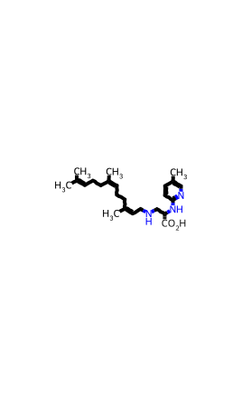 CC(C)=CCCC(C)=CCCC(C)=CCNCC(Nc1ccc(C)cn1)C(=O)O